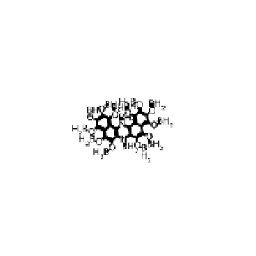 BOc1c(OB)c(OB)c2c3c(c(OB)c(OB)c2c1OB)N(B)c1c(OB)c(OB)c2c(OB)c(OB)c(OB)c(OB)c2c1N3B